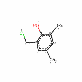 Cc1cc(CCl)c(O)c(C(C)(C)C)c1